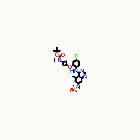 Cc1cc(N=S(C)(C)=O)cc2ncnc(Nc3ccc(F)cc3O[C@H]3C[C@H](NC(=O)OC(C)(C)C)C3)c12